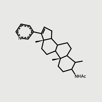 CC(=O)NC1CC[C@@]2(C)C(CCC3C2CC[C@]2(C)C(c4cccnc4)=CCC32)C1C